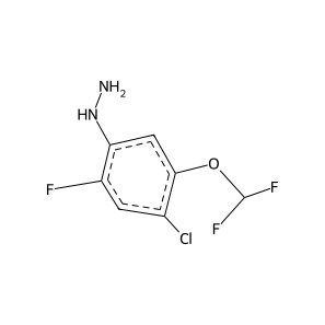 NNc1cc(OC(F)F)c(Cl)cc1F